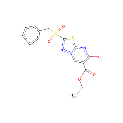 CCOC(=O)c1cn2nc(S(=O)(=O)Cc3ccccc3)sc2nc1=O